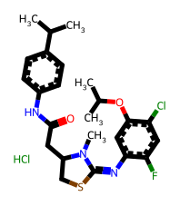 CC(C)Oc1cc(/N=C2/SCC(CC(=O)Nc3ccc(C(C)C)cc3)N2C)c(F)cc1Cl.Cl